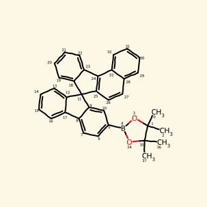 CC1(C)OB(c2ccc3c(c2)C2(c4ccccc4-3)c3ccccc3-c3c2ccc2ccccc32)OC1(C)C